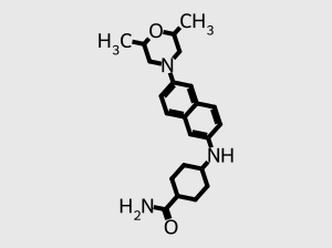 CC1CN(c2ccc3cc(NC4CCC(C(N)=O)CC4)ccc3c2)CC(C)O1